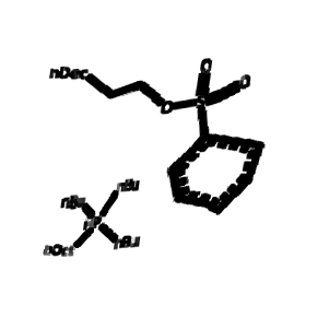 CCCCCCCCCCCCOS(=O)(=O)c1ccccc1.CCCCCCCC[PH](CCCC)(CCCC)CCCC